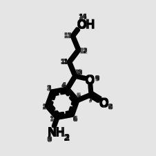 Nc1ccc2c(c1)C(=O)OC2CCCO